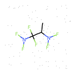 CC(N(F)F)C(F)(F)N(F)F